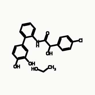 CCO.O=C(Nc1ccccc1-c1ccc(O)c(O)c1)C(O)c1ccc(Cl)cc1